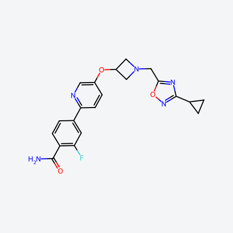 NC(=O)c1ccc(-c2ccc(OC3CN(Cc4nc(C5CC5)no4)C3)cn2)cc1F